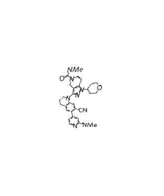 CNC(=O)N1CCc2c(c(N3CCCc4cc(-c5ccnc(NC)c5)c(C#N)cc43)nn2C2CCOCC2)C1